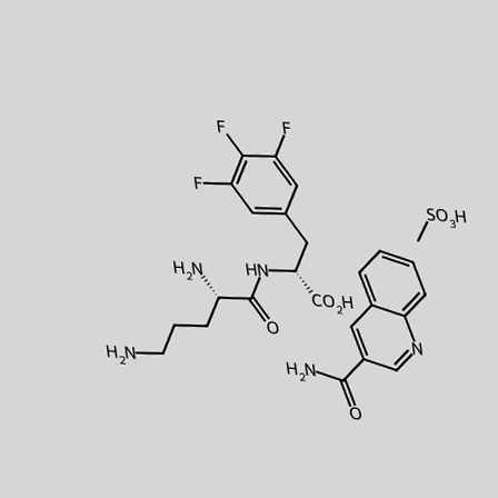 CS(=O)(=O)O.NC(=O)c1cnc2ccccc2c1.NCCC[C@H](N)C(=O)N[C@H](Cc1cc(F)c(F)c(F)c1)C(=O)O